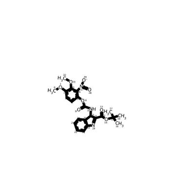 COc1ccc(OC(=O)NC2C(C(=O)OC(C)(C)C)=Nc3ccccc32)c([N+](=O)[O-])c1OC